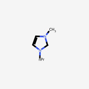 CCCN1[CH]N(C)C=C1